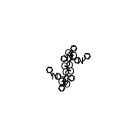 O=C(Oc1c(C2=CCN(Cc3ccccc3)CC2)n(S(=O)(=O)c2ccccc2)c2ccccc12)C(=O)Oc1c(C2=CCN(Cc3ccccc3)CC2)n(S(=O)(=O)c2ccccc2)c2ccccc12